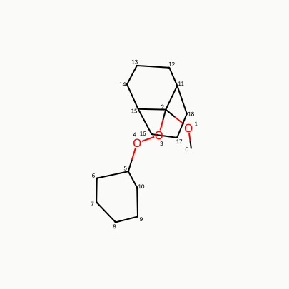 COC1(OOC2CCCCC2)C2CCCC1CCC2